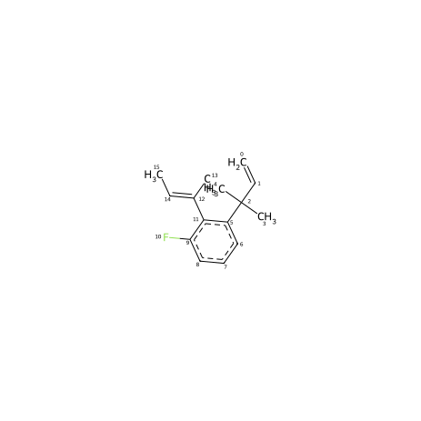 C=CC(C)(C)c1cccc(F)c1/C(C)=C/C